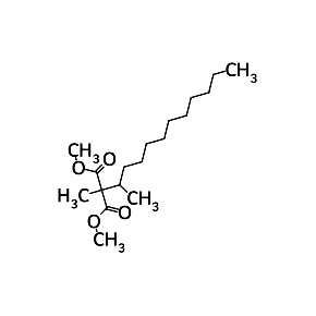 CCCCCCCCCCC(C)C(C)(C(=O)OC)C(=O)OC